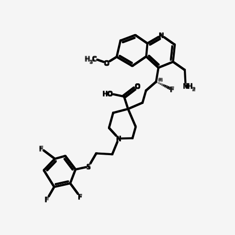 COc1ccc2ncc(CN)c([C@H](F)CCC3(C(=O)O)CCN(CCSc4cc(F)cc(F)c4F)CC3)c2c1